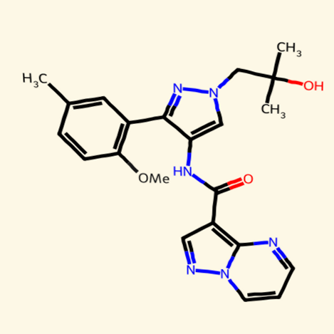 COc1ccc(C)cc1-c1nn(CC(C)(C)O)cc1NC(=O)c1cnn2cccnc12